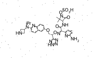 CC(C)N(c1ccc2cc(OCC(O/N=C(\C(=O)NC3C(=O)N(OS(=O)(=O)O)C3(C)C)c3csc(N)n3)c3nn[nH]n3)ccc2n1)C1CNC1